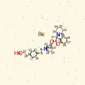 CC(C(=O)OC1C[N+]2(CCc3ccc(CCO)cc3)CCC1CC2)(c1ccccc1)N1CCCCC1.[Br-]